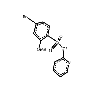 COc1cc(Br)ccc1S(=O)(=O)Nc1ccccn1